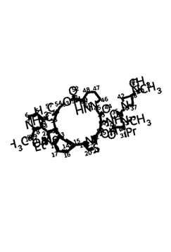 CCn1c(-c2cccnc2[C@H](C)OC)c2c3cc(ccc31)-c1csc(n1)[C@@H](O)[C@H](NC(=O)[C@H](C(C)C)N(C)C(=O)N1CC(N(C)C)C1)C(=O)N1CCC[C@H](N1)C(=O)OCC(C)(C)C2